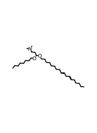 CCCCCC=CCC=CCCCCCCCCOC(CCN(C)C)OCCCCCCCC